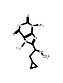 Cn1c(C(CC2CC2)NC(=O)O)nc2c1c(=O)[nH]c(=O)n2C